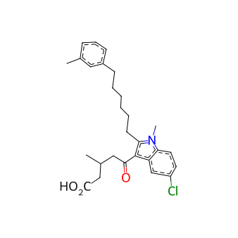 Cc1cccc(CCCCCCc2c(C(=O)CC(C)CC(=O)O)c3cc(Cl)ccc3n2C)c1